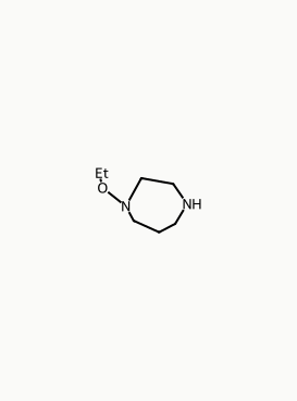 CCON1CCCNCC1